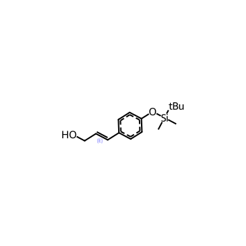 CC(C)(C)[Si](C)(C)Oc1ccc(/C=C/CO)cc1